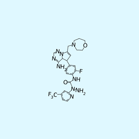 NC1=NC=NN2C(CN3CCCOCC3)=CC(c3ccc(NC(=O)N(N)c4cc(C(F)(F)F)ccn4)c(F)c3)C12